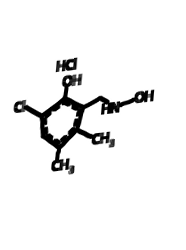 Cc1cc(Cl)c(O)c(CNO)c1C.Cl